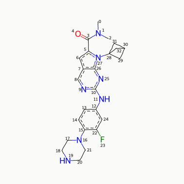 CN(C)C(=O)c1cc2cnc(Nc3ccc(N4CCNCC4)c(F)c3)nc2n1C12CC(C1)C2